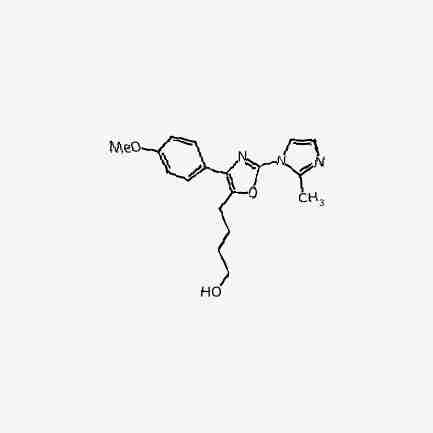 COc1ccc(-c2nc(-n3ccnc3C)oc2CCCCO)cc1